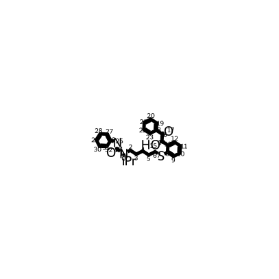 CC(C)N(CCCCCSc1ccccc1C(O)C(=O)c1ccccc1)c1nc2ccccc2o1